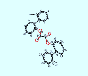 Cc1ccccc1-c1ccccc1OC(=O)C(=O)Oc1ccccc1-c1ccccc1C